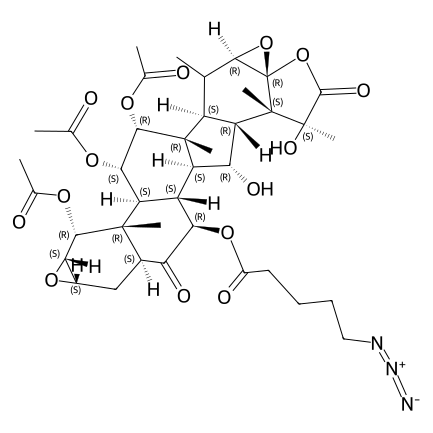 CC(=O)O[C@H]1[C@H]2[C@H]([C@@H]3[C@@H](O)[C@@H]4[C@H](C(C)[C@H]5O[C@]56OC(=O)[C@@](C)(O)[C@]46C)[C@@]3(C)[C@H]1OC(C)=O)[C@@H](OC(=O)CCCCN=[N+]=[N-])C(=O)[C@H]1C[C@@H]3O[C@@H]3[C@H](OC(C)=O)[C@]21C